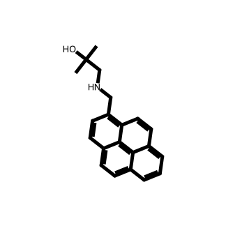 CC(C)(O)CNCc1ccc2ccc3cccc4ccc1c2c34